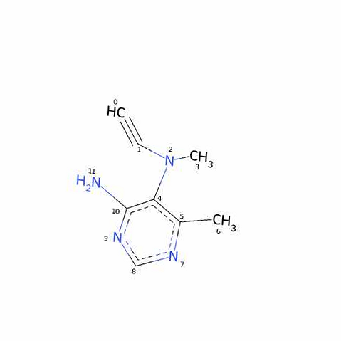 C#CN(C)c1c(C)ncnc1N